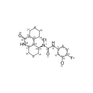 CCN(C(=O)Nc1ccc(F)c(Cl)c1)[C@H]1CCCc2[nH]c(=O)c3c(c21)CCCC3